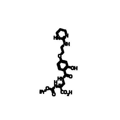 CC(C)OC(=O)N[C@@H](CNC(=O)c1ccc(OCCNC2=NCCCN2)cc1O)C(=O)O